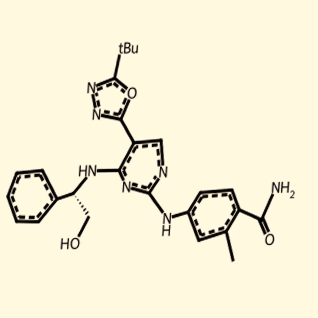 Cc1cc(Nc2ncc(-c3nnc(C(C)(C)C)o3)c(N[C@H](CO)c3ccccc3)n2)ccc1C(N)=O